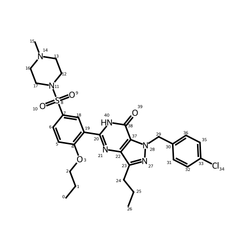 CCCOc1ccc(S(=O)(=O)N2CCN(C)CC2)cc1-c1nc2c(CCC)nn(Cc3ccc(Cl)cc3)c2c(=O)[nH]1